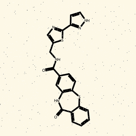 O=C(NCc1cnc(-c2cc[nH]n2)s1)c1ccc2c(c1)NC(=O)c1ccccc1S2